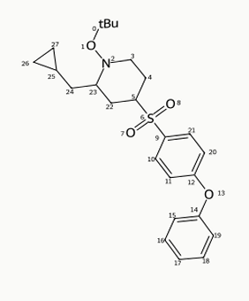 CC(C)(C)ON1CCC(S(=O)(=O)c2ccc(Oc3ccccc3)cc2)CC1CC1CC1